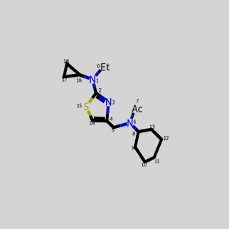 CCN(c1nc(CN(C(C)=O)C2CCCCC2)cs1)C1CC1